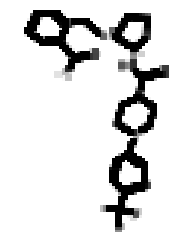 O=C(O)c1ccccc1CC[C@@H]1CCC[C@@H]1NC(=O)C1CCN(c2ccc(C(F)(F)F)cc2)CC1